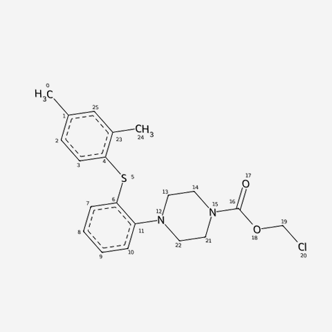 Cc1ccc(Sc2ccccc2N2CCN(C(=O)OCCl)CC2)c(C)c1